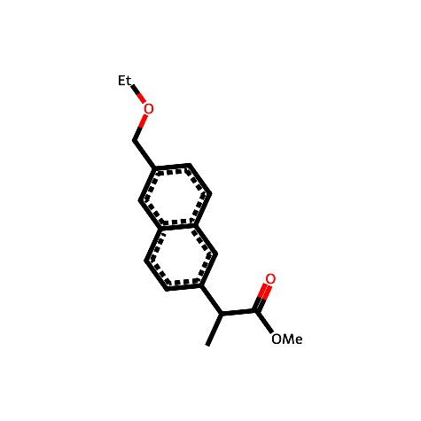 CCOCc1ccc2cc(C(C)C(=O)OC)ccc2c1